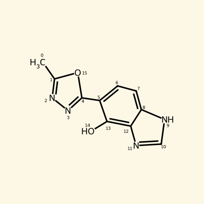 Cc1nnc(-c2ccc3[nH]cnc3c2O)o1